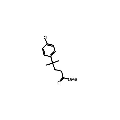 COC(=O)CCC(C)(C)c1ccc(Cl)cc1